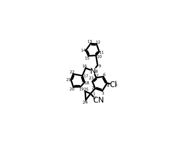 N#CC1(c2cc(Cl)cc(N(Cc3ccccc3)Cc3ccccc3)c2)CC1